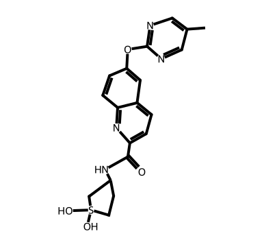 Cc1cnc(Oc2ccc3nc(C(=O)NC4CCS(O)(O)C4)ccc3c2)nc1